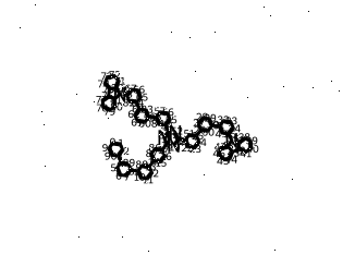 c1ccc(-c2cccc(-c3cccc(-c4ccc(-c5nc(-c6cccc(-c7cccc(-c8cccc(-n9c%10ccccc%10c%10ccccc%109)c8)c7)c6)nc(-c6cccc(-c7cccc(-c8cccc(-n9c%10ccccc%10c%10ccccc%109)c8)c7)c6)n5)cc4)c3)c2)cc1